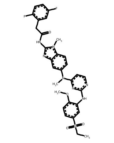 CCS(=O)(=O)c1ccc(OC)c(Nc2nccc(N(C)c3ccc4c(c3)nc(NC(=O)Cc3cc(F)ccc3F)n4C)n2)c1